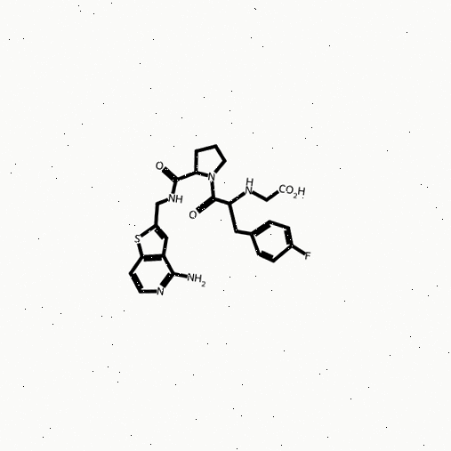 Nc1nccc2sc(CNC(=O)C3CCCN3C(=O)C(Cc3ccc(F)cc3)NCC(=O)O)cc12